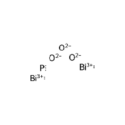 [Bi+3].[Bi+3].[O-2].[O-2].[O-2].[P]